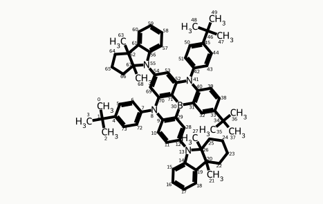 CC(C)(C)c1ccc(N2c3ccc(N4c5ccccc5C5(C)CCCCC45C)cc3B3c4cc(C(C)(C)C)ccc4N(c4ccc(C(C)(C)C)cc4)c4cc(N5c6ccccc6C6(C)CCCC56C)cc2c43)cc1